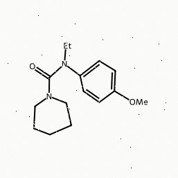 CCN(C(=O)N1CCCCC1)c1ccc(OC)cc1